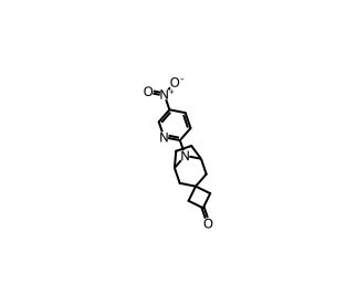 O=C1CC2(C1)CC1CCC(C2)N1c1ccc([N+](=O)[O-])cn1